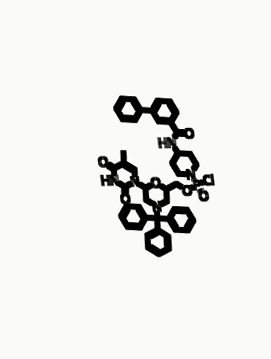 Cc1cn(C2CN(C(c3ccccc3)(c3ccccc3)c3ccccc3)CC(COP(=O)(Cl)N3CCC(NC(=O)c4cccc(-c5ccccc5)c4)CC3)O2)c(=O)[nH]c1=O